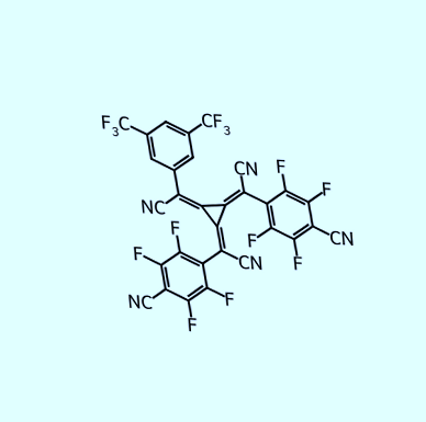 N#CC(=C1C(=C(\C#N)c2cc(C(F)(F)F)cc(C(F)(F)F)c2)/C1=C(\C#N)c1c(F)c(F)c(C#N)c(F)c1F)c1c(F)c(F)c(C#N)c(F)c1F